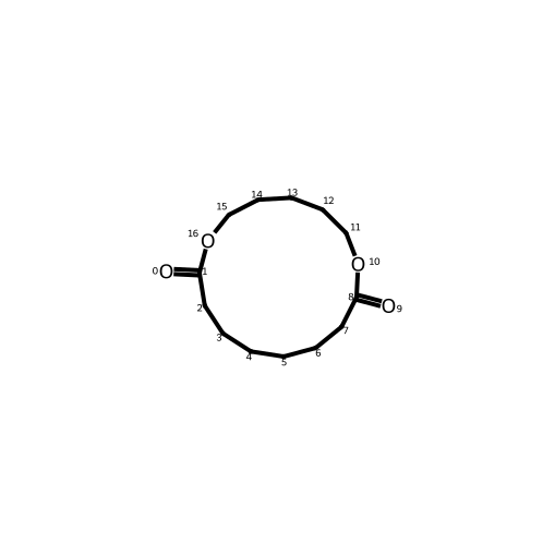 O=C1CCCCCCC(=O)OCCCCCO1